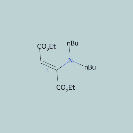 CCCCN(CCCC)/C(=C\C(=O)OCC)C(=O)OCC